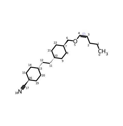 CCC/C=C\OC[C@H]1CC[C@H](CC[C@H]2CC[C@H](C#N)CC2)CC1